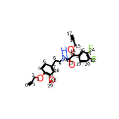 C#CCOc1ccc(CCNC(=O)C(OCC#C)c2ccc(F)c(F)c2)cc1OC